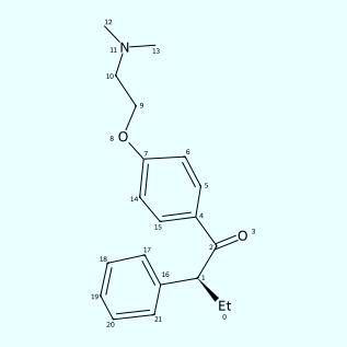 CC[C@H](C(=O)c1ccc(OCCN(C)C)cc1)c1ccccc1